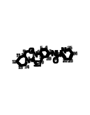 O=C(Nc1ccc(N2OCC3CCCCN3C2=S)c(Cl)c1)c1ccccn1